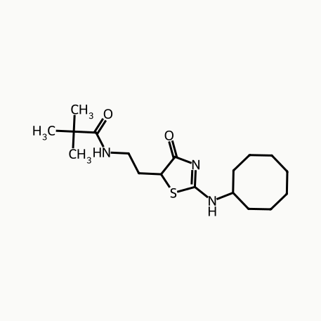 CC(C)(C)C(=O)NCCC1SC(NC2CCCCCCC2)=NC1=O